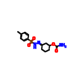 Cc1ccc(S(=O)(=O)N/N=C2\CCCC(OC(N)=O)C2)cc1